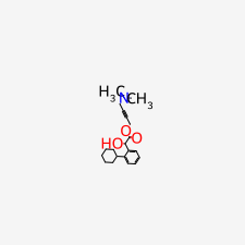 CN(C)CC#CCOC(=O)C(O)c1ccccc1C1CCCCC1